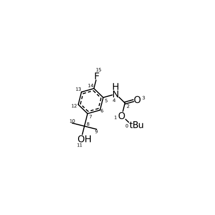 CC(C)(C)OC(=O)Nc1cc(C(C)(C)O)ccc1F